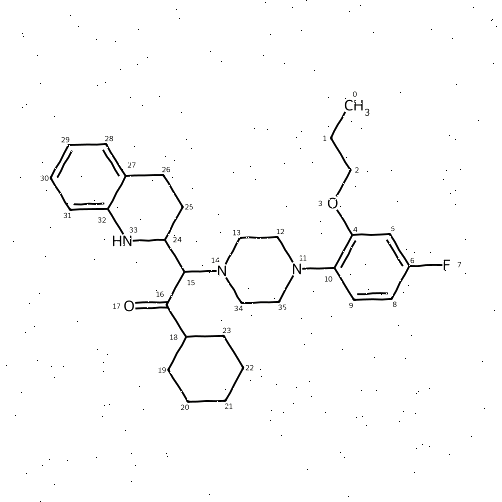 CCCOc1cc(F)ccc1N1CCN(C(C(=O)C2CCCCC2)C2CCc3ccccc3N2)CC1